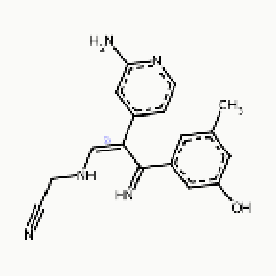 Cc1cc(O)cc(C(=N)/C(=C\NCC#N)c2ccnc(N)c2)c1